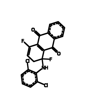 O=C1C2=C(C(=O)c3ccccc31)C(F)(Nc1c(Cl)cccc1Cl)CC=C2F